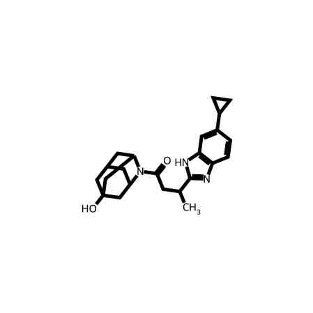 CC(CC(=O)N1C2CC3CC1CC(O)(C3)C2)c1nc2ccc(C3CC3)cc2[nH]1